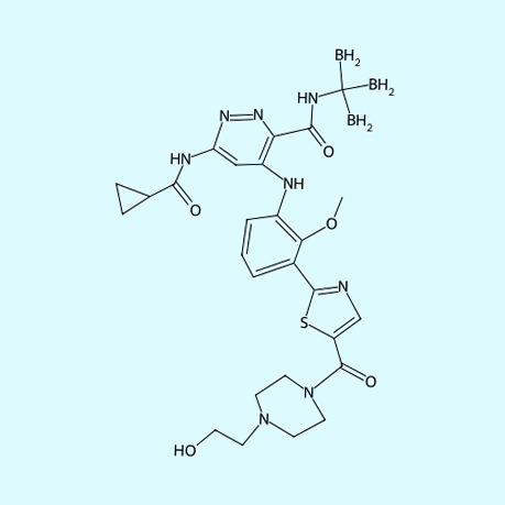 BC(B)(B)NC(=O)c1nnc(NC(=O)C2CC2)cc1Nc1cccc(-c2ncc(C(=O)N3CCN(CCO)CC3)s2)c1OC